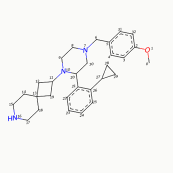 COc1ccc(CN2CCN(C3CC4(CCNCC4)C3)C(c3ccccc3C3CC3)C2)cc1